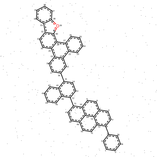 c1ccc(-c2ccc3ccc4c(-c5ccc(-c6ccc7c(c6)c6ccccc6c6c7ccc7c8ccccc8oc76)c6ccccc56)ccc5ccc2c3c54)cc1